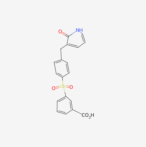 O=C(O)c1cccc(S(=O)(=O)c2ccc(Cc3ccc[nH]c3=O)cc2)c1